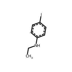 CCNc1[c]cc(I)cc1